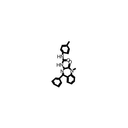 Cc1ccc(NC(=O)NC2N=C(c3ccccc3)c3ccccc3N(C)C2=O)cc1